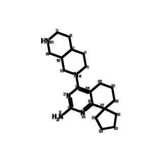 Nc1nc(N2CCC3CCNCC3C2)c2c(n1)C1(CCCC1)CCC2